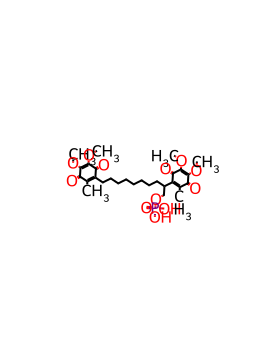 COC1=C(OC)C(=O)C(CCCCCCCCC(COP(=O)(O)O)C2=C(C)C(=O)C(OC)=C(OC)C2=O)=C(C)C1=O